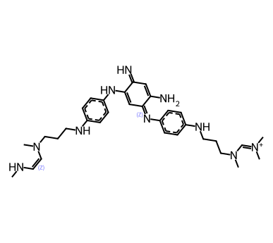 CN/C=C\N(C)CCCNc1ccc(NC2=C/C(=N/c3ccc(NCCCN(C)C=[N+](C)C)cc3)C(N)=CC2=N)cc1